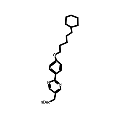 CCCCCCCCCCCc1cnc(-c2ccc(OCCCCCC3CCCCC3)cc2)nc1